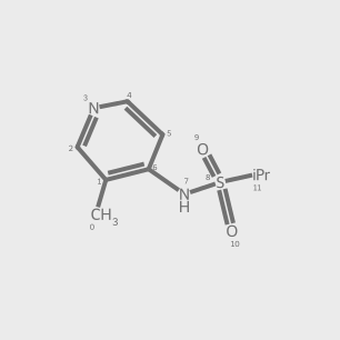 Cc1cnccc1NS(=O)(=O)C(C)C